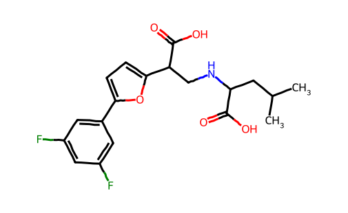 CC(C)CC(NCC(C(=O)O)c1ccc(-c2cc(F)cc(F)c2)o1)C(=O)O